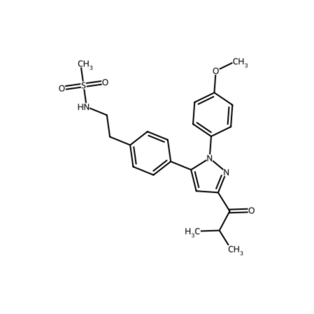 COc1ccc(-n2nc(C(=O)C(C)C)cc2-c2ccc(CCNS(C)(=O)=O)cc2)cc1